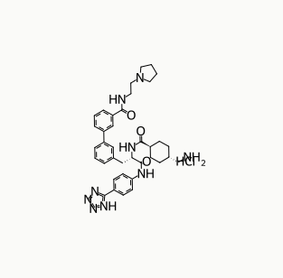 Cl.NC[C@H]1CC[C@H](C(=O)N[C@@H](Cc2cccc(-c3cccc(C(=O)NCCN4CCCC4)c3)c2)C(=O)Nc2ccc(-c3nnn[nH]3)cc2)CC1